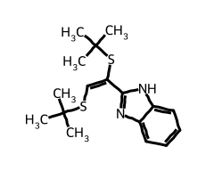 CC(C)(C)S/C=C(/SC(C)(C)C)c1nc2ccccc2[nH]1